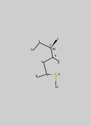 CC[C@@H](C)C(C)CC(C)SC